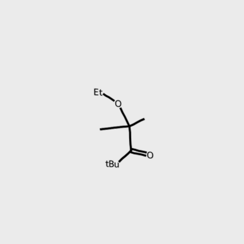 CCOC(C)(C)C(=O)C(C)(C)C